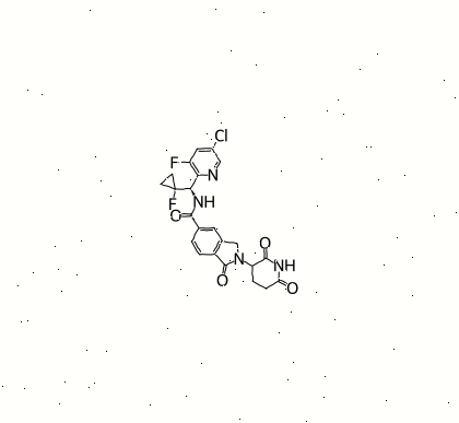 O=C1CCC(N2Cc3cc(C(=O)N[C@H](c4ncc(Cl)cc4F)C4(F)CC4)ccc3C2=O)C(=O)N1